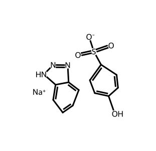 O=S(=O)([O-])c1ccc(O)cc1.[Na+].c1ccc2[nH]nnc2c1